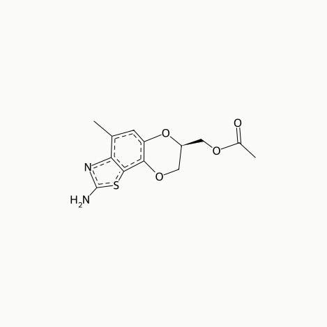 CC(=O)OC[C@H]1COc2c(cc(C)c3nc(N)sc23)O1